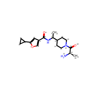 CC(NC(=O)c1coc(C2CC2)c1)C1CCN(C(=O)[C@@H](C)N)CC1